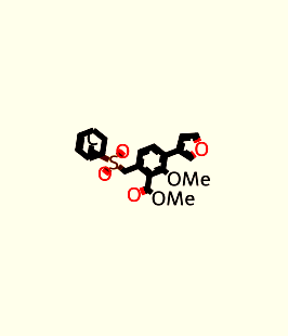 COC(=O)c1c(CS(=O)(=O)C2CC3C=CC2CC3)ccc(-c2ccoc2)c1OC